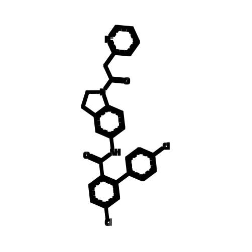 O=C(Nc1ccc2c(c1)CCN2C(=O)Cc1ccccn1)c1ccc(Cl)cc1-c1ccc(Cl)cc1